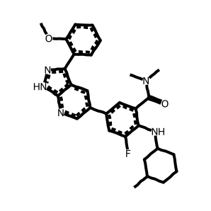 COc1ccccc1-c1n[nH]c2ncc(-c3cc(F)c(NC4CCCC(C)C4)c(C(=O)N(C)C)c3)cc12